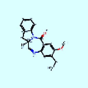 CCc1cc2c(cc1OC)C(=O)N1c3ccccc3C[C@H]1C=N2